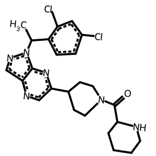 CC(c1ccc(Cl)cc1Cl)n1ncc2ncc(C3CCN(C(=O)C4CCCCN4)CC3)nc21